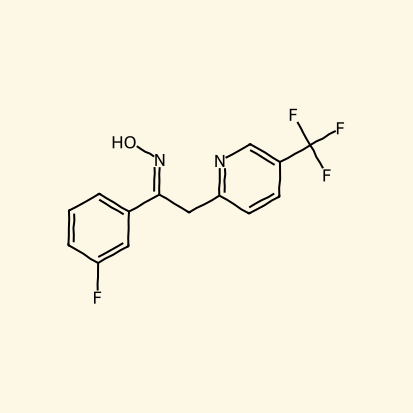 ON=C(Cc1ccc(C(F)(F)F)cn1)c1cccc(F)c1